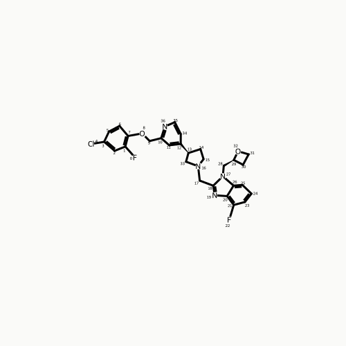 Fc1cc(Cl)ccc1OCc1cc([C@H]2CCN(Cc3nc4c(F)cccc4n3C[C@@H]3CCO3)C2)ccn1